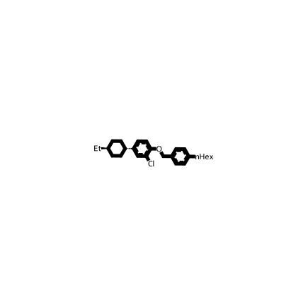 CCCCCCc1ccc(COc2ccc([C@H]3CC[C@H](CC)CC3)cc2Cl)cc1